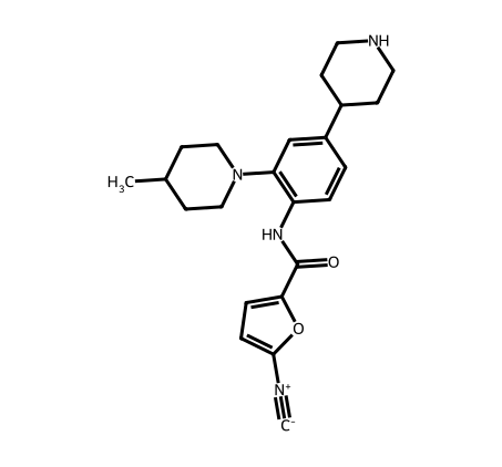 [C-]#[N+]c1ccc(C(=O)Nc2ccc(C3CCNCC3)cc2N2CCC(C)CC2)o1